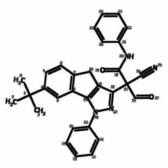 CC(C)(C)c1ccc2c(c1)-c1c(c(C(C#N)(C=O)C(=O)Nc3ccccc3)nn1-c1ccccc1)C2